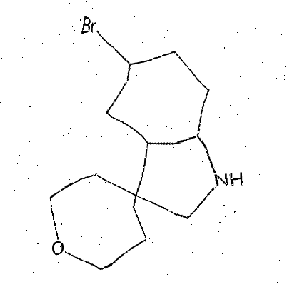 BrC1CCC2NCC3(CCOCC3)C2C1